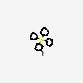 Brc1cccc(S(c2ccccc2)(c2ccccc2)c2ccccc2)c1